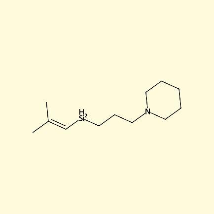 CC(C)=C[SiH2]CCCN1CCCCC1